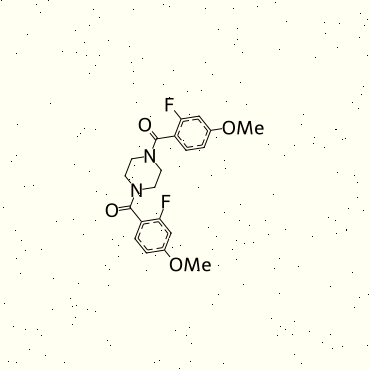 COc1ccc(C(=O)N2CCN(C(=O)c3ccc(OC)cc3F)CC2)c(F)c1